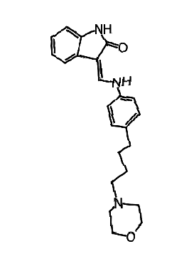 O=C1Nc2ccccc2C1=CNc1ccc(CCCCN2CCOCC2)cc1